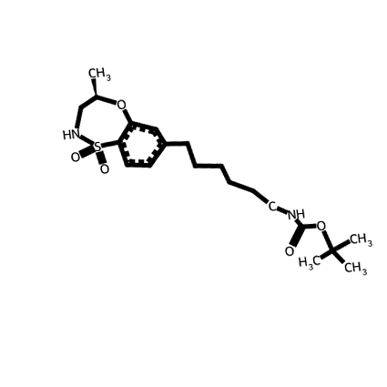 C[C@@H]1CNS(=O)(=O)c2ccc(CCCCCCNC(=O)OC(C)(C)C)cc2O1